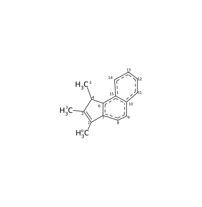 CC1=C(C)C(C)c2c1ccc1ccccc21